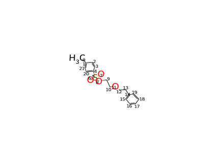 Cc1ccc(S(=O)(=O)OCCOCCc2ccccc2)cc1